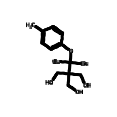 Cc1ccc(OC(C(C)(C)C)(C(C)(C)C)C(CO)(CO)CO)cc1